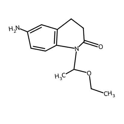 CCOC(C)N1C(=O)CCc2cc(N)ccc21